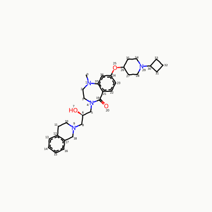 CN1CCN(C[C@H](O)CN2CCc3ccccc3C2)C(=O)c2ccc(OC3CCN(C4CCC4)CC3)cc21